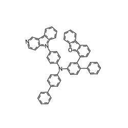 c1ccc(-c2ccc(N(c3ccc(-n4c5ccccc5c5cnccc54)cc3)c3ccc(-c4ccccc4)c(-c4cccc5c4oc4ccccc45)c3)cc2)cc1